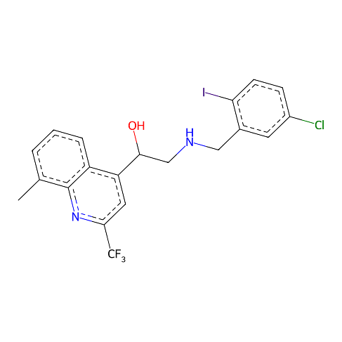 Cc1cccc2c(C(O)CNCc3cc(Cl)ccc3I)cc(C(F)(F)F)nc12